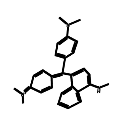 CNc1ccc(C(=C2C=CC(=[N+](C)C)C=C2)c2ccc(N(C)C)cc2)c2ccccc12